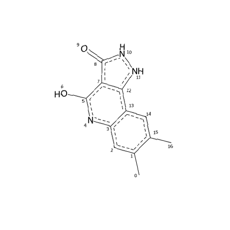 Cc1cc2nc(O)c3c(=O)[nH][nH]c3c2cc1C